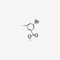 [CH2]c1cc(Br)cc(C(=O)OC)c1